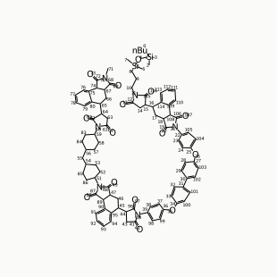 CCCC[Si](C)(C)O[Si](C)(C)CCCN1C(=O)CC(C2CC3C(=O)N(c4ccc(Oc5ccc(-c6ccc(Oc7ccc(N8C(=O)CC(C9CC%10C(=O)N(C%11CCC(CC%12CCC(N%13C(=O)CC(C%14CC%15C(=O)N(C)C(=O)C%15c%15ccccc%15%14)C%13=O)CC%12)CC%11)C(=O)C%10c%10ccccc%109)C8=O)cc7)cc6)cc5)cc4)C(=O)C3c3ccccc32)C1=O